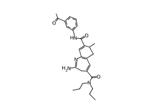 CCCN(CCC)C(=O)C1=CC2=C(C=C(C(=O)Nc3cccc(C(C)=O)c3)C(C)C2)N=C(N)C1